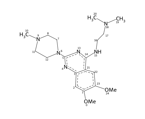 COc1cc2nc(N3CCN(C)CC3)nc(NCCN(C)C)c2cc1OC